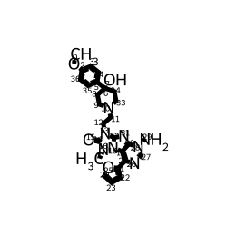 COc1ccc(C2(O)CCN(CCN3C(=O)N(C)N4C5=C(c6ccco6)N=CN(N)C5=NC34)CC2)cc1